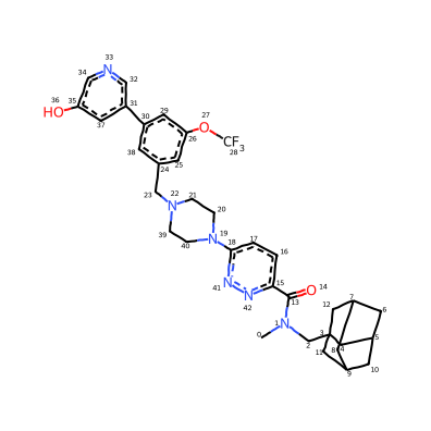 CN(CC12CC3CC(CC(C3)C1)C2)C(=O)c1ccc(N2CCN(Cc3cc(OC(F)(F)F)cc(-c4cncc(O)c4)c3)CC2)nn1